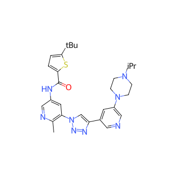 Cc1ncc(NC(=O)c2ccc(C(C)(C)C)s2)cc1-n1cc(-c2cncc(N3CCN(C(C)C)CC3)c2)nn1